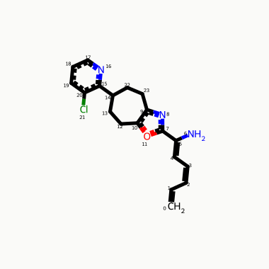 C=C/C=C\C=C(/N)c1nc2c(o1)CCC(c1ncccc1Cl)CC2